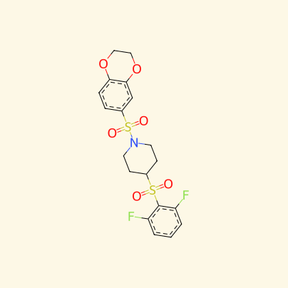 O=S(=O)(c1c(F)cccc1F)C1CCN(S(=O)(=O)c2ccc3c(c2)OCCO3)CC1